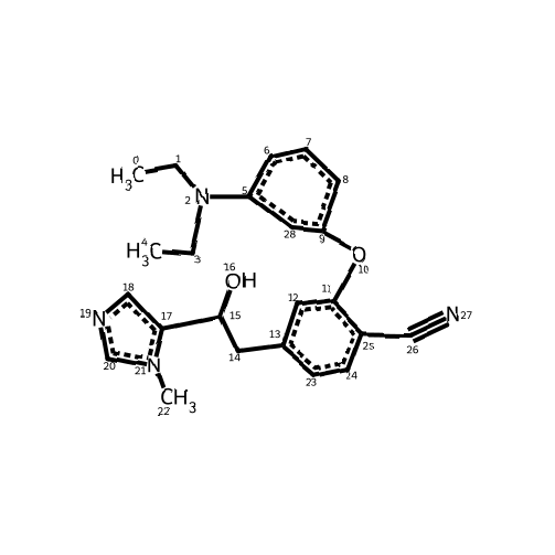 CCN(CC)c1cccc(Oc2cc(CC(O)c3cncn3C)ccc2C#N)c1